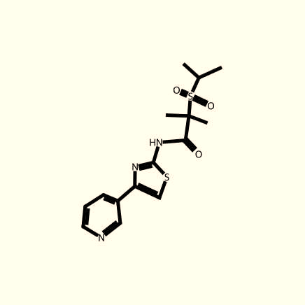 CC(C)S(=O)(=O)C(C)(C)C(=O)Nc1nc(-c2cccnc2)cs1